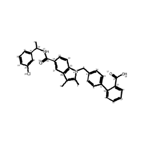 Cc1c(C)n(Cc2ccc(-c3ccccc3C(=O)O)cc2)c2ccc(C(=O)NC(C)c3cccc(Cl)c3)cc12